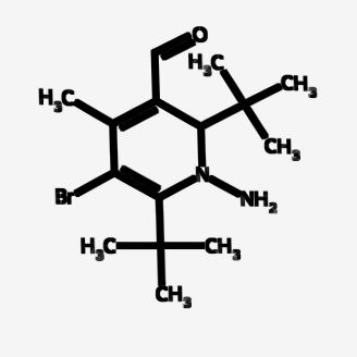 CC1=C(C=O)C(C(C)(C)C)N(N)C(C(C)(C)C)=C1Br